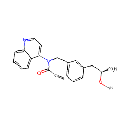 COC(=O)N(Cc1cccc(C[C@H](OC(C)C)C(=O)O)c1)c1ccnc2ccccc12